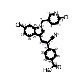 N#C/C(=C\c1cn(Cc2ccc(Cl)nc2)c2cc(Cl)ccc12)c1ccc(C(=O)O)cc1